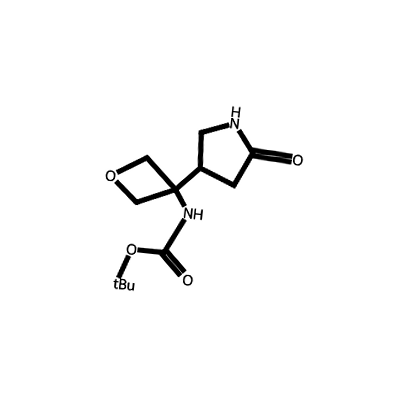 CC(C)(C)OC(=O)NC1(C2CNC(=O)C2)COC1